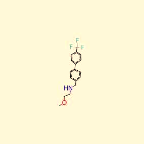 COCCNCc1ccc(-c2ccc(C(F)(F)F)cc2)cc1